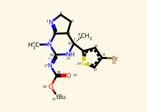 CN1C2=NCCC2[C@@](C)(c2cc(Br)cs2)N/C1=N\C(=O)OC(C)(C)C